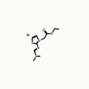 CCOC(=O)C[n+]1ccsc1/N=C/N(C)C.[Br-]